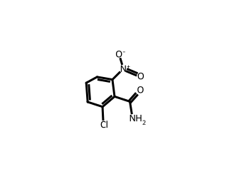 NC(=O)c1c(Cl)cccc1[N+](=O)[O-]